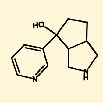 OC1(c2cccnc2)CCC2CNCC21